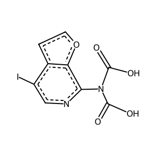 O=C(O)N(C(=O)O)c1ncc(I)c2ccoc12